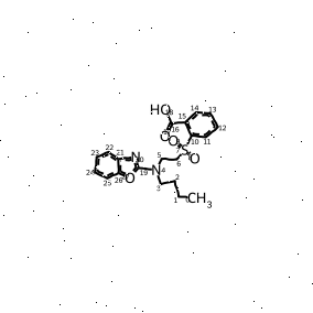 CCCCN(CCS(=O)(=O)c1ccccc1C(=O)O)c1nc2ccccc2o1